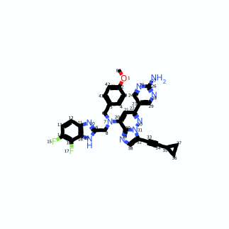 COc1ccc(CN(Cc2nc3ccc(F)c(F)c3[nH]2)c2cc(-c3cnc(N)nc3)nn3c(C#CC4CC4)cnc23)cc1